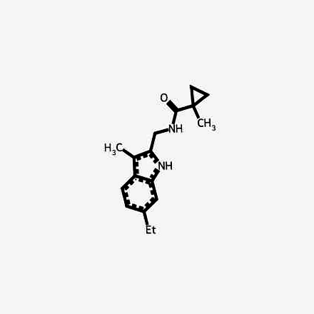 CCc1ccc2c(C)c(CNC(=O)C3(C)CC3)[nH]c2c1